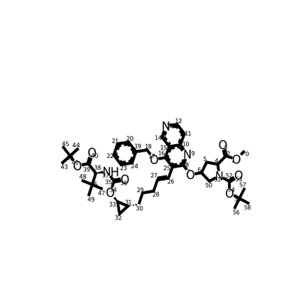 COC(=O)C1CC(Oc2nc3ccncc3c(OCc3ccccc3)c2C=CCCC[C@@H]2C[C@H]2OC(=O)N[C@H](C(=O)OC(C)(C)C)C(C)(C)C)CN1C(=O)OC(C)(C)C